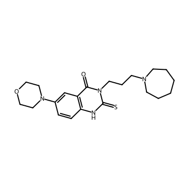 O=c1c2cc(N3CCOCC3)ccc2[nH]c(=S)n1CCCN1CCCCCC1